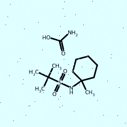 CC1(NS(=O)(=O)C(C)(C)C)CCCCC1.NC(=O)O